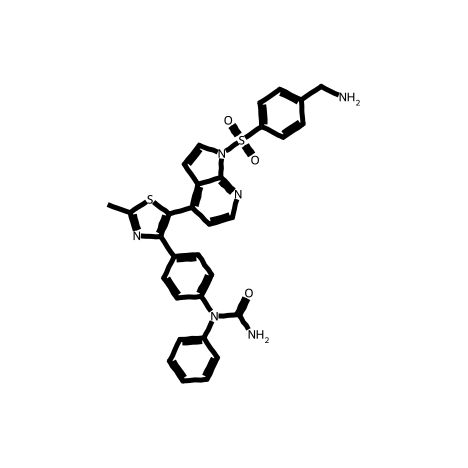 Cc1nc(-c2ccc(N(C(N)=O)c3ccccc3)cc2)c(-c2ccnc3c2ccn3S(=O)(=O)c2ccc(CN)cc2)s1